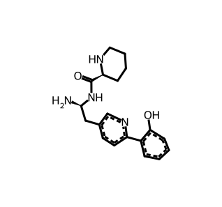 N[C@H](Cc1ccc(-c2ccccc2O)nc1)NC(=O)[C@@H]1CCCCN1